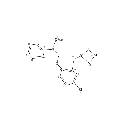 COC(COc1ccc(Cl)cc1OC1CNC1)c1ccccc1